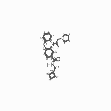 CC(CN1CCCC1)N1c2ccccc2Sc2ccc(C(=O)NCC3CCC3)cc21